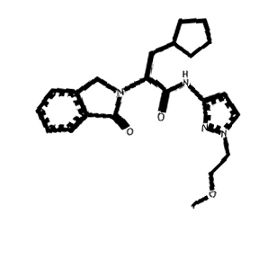 COCCn1ccc(NC(=O)C(CC2CCCC2)N2Cc3ccccc3C2=O)n1